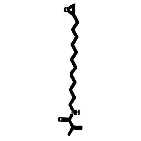 C=C(C)C(=O)NCCCCCCCCCCCCC1CO1